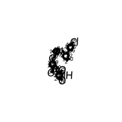 CC1(C)CCC(CN2CC3CC(COc4ccc5c(c4)CN(C4CCC(=O)NC4=O)C5=O)(C3)C2)=C(c2ccc(Cl)cc2)C1